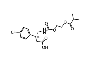 CC(C)C(=O)OCCOC(=O)NC[C@H](CC(=O)O)c1ccc(Cl)cc1